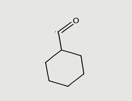 O=[C]C1CCCCC1